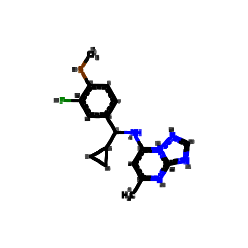 Cc1cc(NC(c2ccc(SC(F)(F)F)c(F)c2)C2CC2)n2ncnc2n1